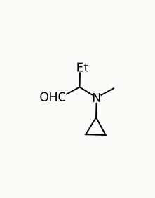 CCC(C=O)N(C)C1CC1